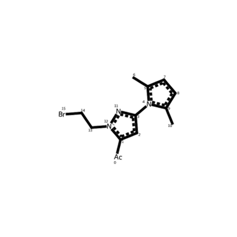 CC(=O)c1cc(-n2c(C)ccc2C)nn1CCBr